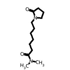 CN(C)C(=O)CCCCCCN1CCCC1=O